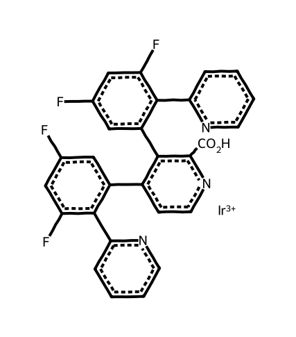 O=C(O)c1nccc(-c2cc(F)cc(F)c2-c2ccccn2)c1-c1cc(F)cc(F)c1-c1ccccn1.[Ir+3]